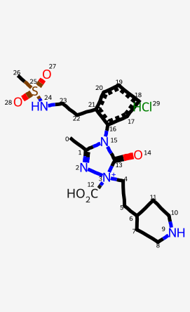 CC1=N[N+](CCC2CCNCC2)(C(=O)O)C(=O)N1c1ccccc1CCNS(C)(=O)=O.Cl